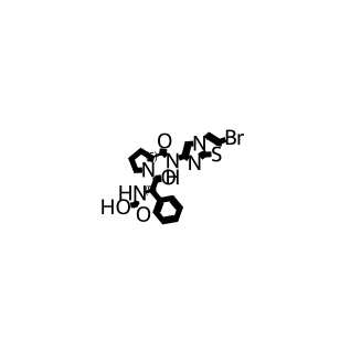 O=C(O)N[C@@H](C(=O)N1CCC[C@H]1C(=O)Nc1cn2cc(Br)sc2n1)c1ccccc1